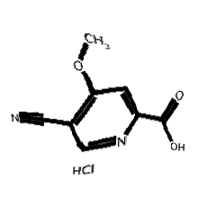 COc1cc(C(=O)O)ncc1C#N.Cl